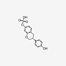 O=S(=O)(O)Oc1ccc2c(c1)OC[C@H](c1ccc(O)cc1)C2